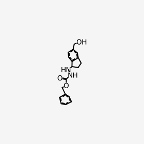 O=C(NNC1CCc2cc(CO)ccc21)OCc1ccccc1